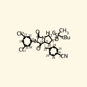 CC(C)(C)[Si](C)(C)O[C@H]1CN2C(=O)N(c3cc(Cl)cc(Cl)c3)C(=O)[C@]2(Cc2ccc(C#N)cc2)C1